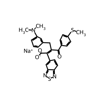 CSc1ccc(C(=O)C(Cc2cccc(N(C)C)c2)=C(C(=O)[O-])c2ccc3nsnc3c2)cc1.[Na+]